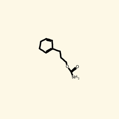 NC(=O)OCCCC1=CCCC=C1